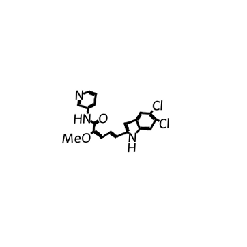 COC(=CC=Cc1cc2cc(Cl)c(Cl)cc2[nH]1)C(=O)Nc1cccnc1